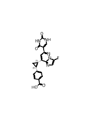 O=C(O)c1ccc([C@@H]2C[C@@H]2c2cc(-c3c[nH]c(=O)[nH]c3=O)nn3c(F)cnc23)cc1